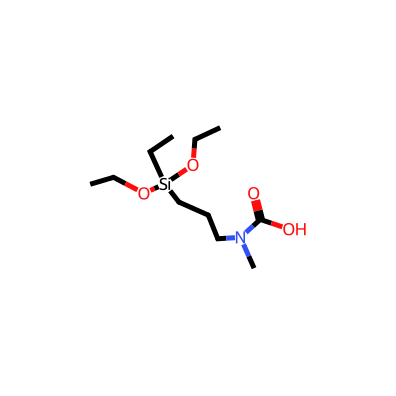 CCO[Si](CC)(CCCN(C)C(=O)O)OCC